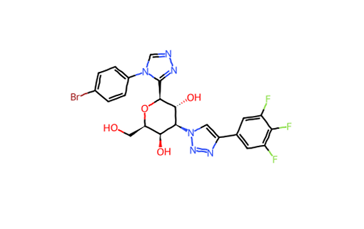 OC[C@H]1O[C@@H](c2nncn2-c2ccc(Br)cc2)[C@H](O)[C@@H](n2cc(-c3cc(F)c(F)c(F)c3)nn2)[C@H]1O